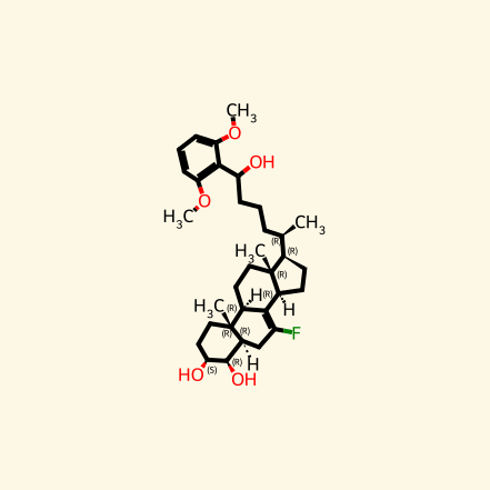 COc1cccc(OC)c1C(O)CCC[C@@H](C)[C@H]1CC[C@H]2C3=C(F)C[C@H]4[C@@H](O)[C@@H](O)CC[C@]4(C)[C@H]3CC[C@]12C